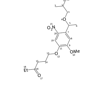 CCCCC(C)COC(C)c1cc(OC)c(OCCCC(=O)CC)cc1[N+](=O)[O-]